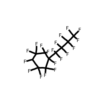 F[C]1C(F)(F)C(F)(F)C(F)(C(F)(F)C(F)(F)C(F)(F)C(F)(F)F)C(F)(F)C1(F)F